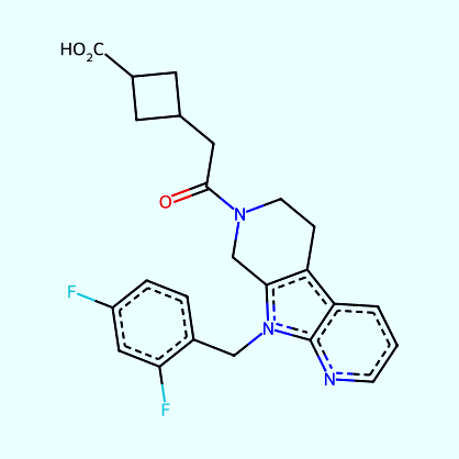 O=C(O)C1CC(CC(=O)N2CCc3c(n(Cc4ccc(F)cc4F)c4ncccc34)C2)C1